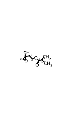 C=C(C)C(=O)OCCC1(C)CO1